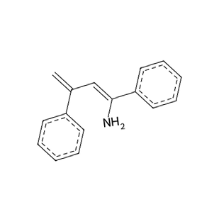 C=C(/C=C(\N)c1ccccc1)c1ccccc1